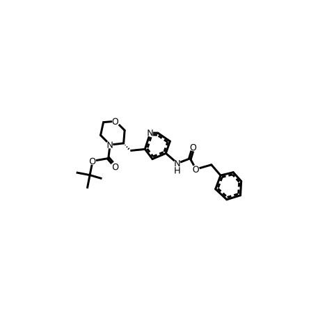 CC(C)(C)OC(=O)N1CCOC[C@@H]1Cc1cc(NC(=O)OCc2ccccc2)ccn1